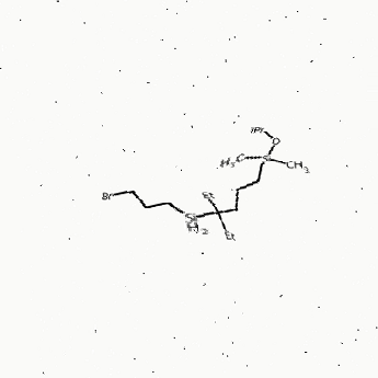 CCC(CC)(CCC[Si](C)(C)OC(C)C)[SiH2]CCCBr